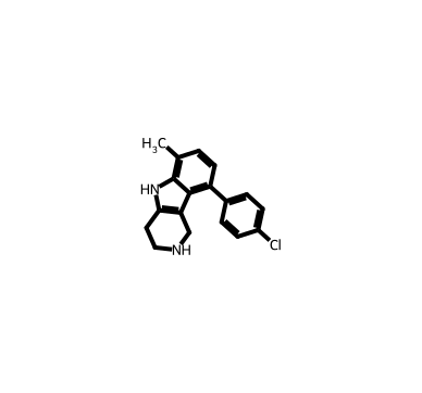 Cc1ccc(-c2ccc(Cl)cc2)c2c3c([nH]c12)CCNC3